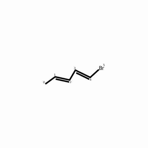 C/C=C/C=CBr